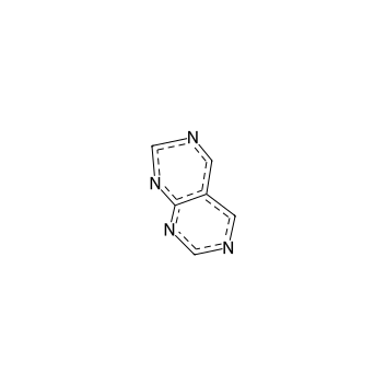 c1ncc2cncnc2n1